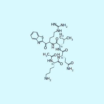 CC(=O)N[C@@H](CCCCN)C(=O)N[C@@H](CCC(N)=O)C(=O)N[C@@H](CC(C)C)C(=O)NC(CCCNC(=N)N)C(=O)c1nc2ccccc2s1